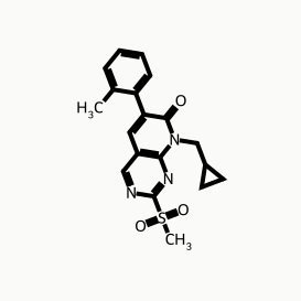 Cc1ccccc1-c1cc2cnc(S(C)(=O)=O)nc2n(CC2CC2)c1=O